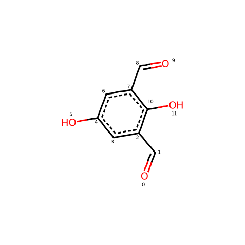 O=Cc1cc(O)cc(C=O)c1O